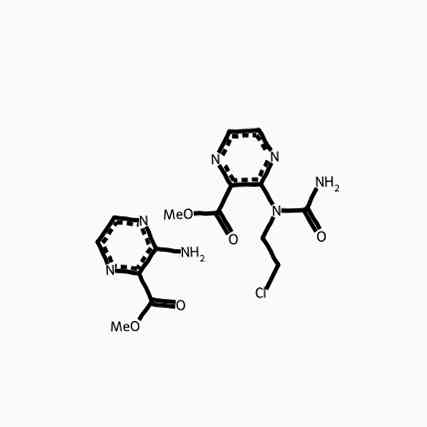 COC(=O)c1nccnc1N.COC(=O)c1nccnc1N(CCCl)C(N)=O